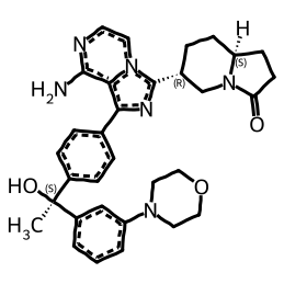 C[C@](O)(c1ccc(-c2nc([C@@H]3CC[C@H]4CCC(=O)N4C3)n3ccnc(N)c23)cc1)c1cccc(N2CCOCC2)c1